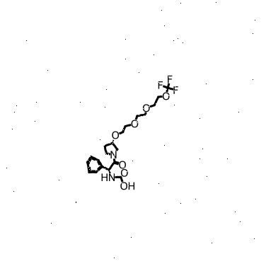 O=C(O)N[C@H](C(=O)N1CC[C@H](OCCOCCOCCOC(F)(F)F)C1)c1ccccc1